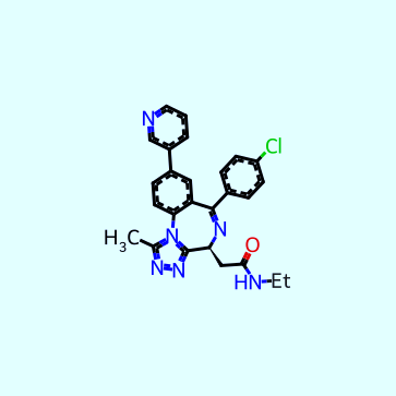 CCNC(=O)C[C@@H]1N=C(c2ccc(Cl)cc2)c2cc(-c3cccnc3)ccc2-n2c(C)nnc21